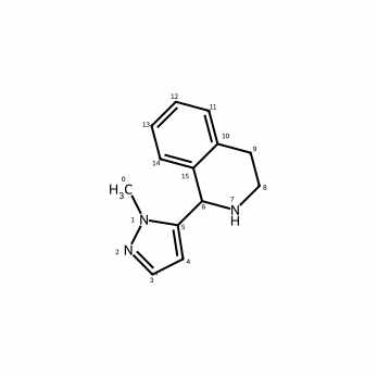 Cn1n[c]cc1C1NCCc2ccccc21